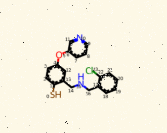 Sc1ccc(Oc2cccnc2)cc1CNCc1ccccc1Cl